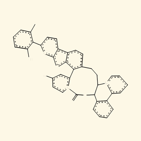 C=C1CC2c3ccccc3-c3cccc[n+]3C2CCc2ccc3c(oc4nc(-c5c(C)cccc5C)ccc43)c2-c2cc(C(C)(C)C)cc[n+]21